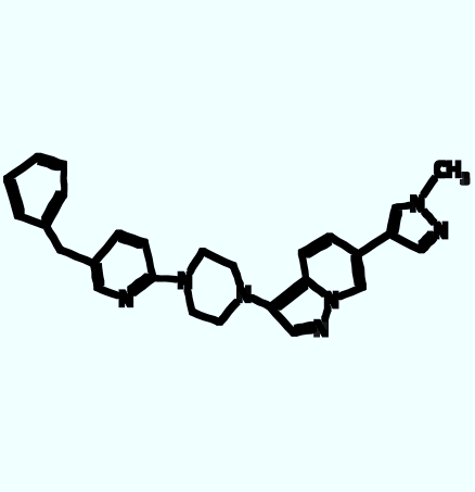 Cn1cc(-c2ccc3c(N4CCN(c5ccc(Cc6ccccc6)cn5)CC4)cnn3c2)cn1